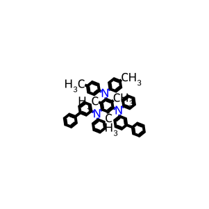 Cc1ccc(N(c2ccc(C)cc2)c2c(C)c(N(C3=CC=CCC3)c3cccc(-c4ccccc4)c3)c(C)c(N(c3ccccc3)c3cccc(-c4ccccc4)c3)c2C)cc1